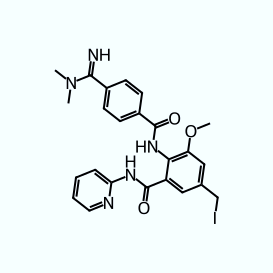 COc1cc(CI)cc(C(=O)Nc2ccccn2)c1NC(=O)c1ccc(C(=N)N(C)C)cc1